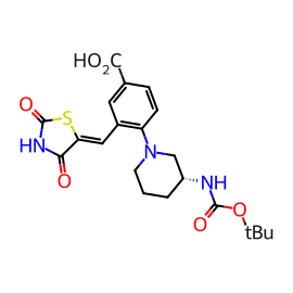 CC(C)(C)OC(=O)N[C@@H]1CCCN(c2ccc(C(=O)O)cc2/C=C2\SC(=O)NC2=O)C1